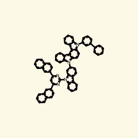 c1ccc(-c2cccc(-n3c4ccccc4c4c5c6ccccc6n(-c6ccc7c8ccccc8n(-c8nc(-c9ccc%10ccccc%10c9)cc(-c9ccc%10ccccc%10c9)n8)c7c6)c5ccc43)c2)cc1